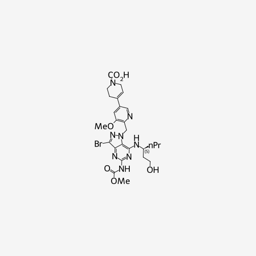 CCC[C@@H](CCO)Nc1nc(NC(=O)OC)nc2c(Br)nn(Cc3ncc(C4=CCN(C(=O)O)CC4)cc3OC)c12